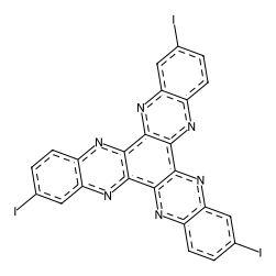 Ic1ccc2nc3c4nc5cc(I)ccc5nc4c4nc5cc(I)ccc5nc4c3nc2c1